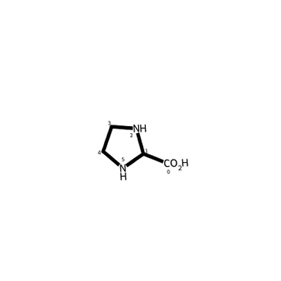 O=C(O)[C]1NCCN1